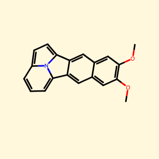 COc1cc2cc3c(cc2cc1OC)c1ccc2cccc3n21